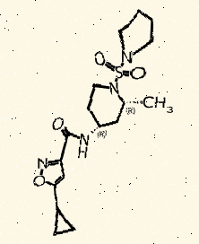 C[C@@H]1C[C@H](NC(=O)c2cc(C3CC3)on2)CCN1S(=O)(=O)N1CCCC1